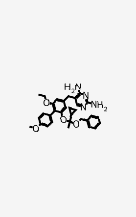 CCOc1cc(Cc2cnc(N)nc2N)cc(OC(C)(OCc2ccccc2)C2CC2)c1-c1ccc(OC)cc1